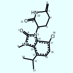 C=C1CCC(n2c(=O)n(C)c3c(C(C)C)ccc(Cl)c32)C(=O)N1